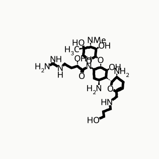 CN[C@@H]1[C@@H](O)[C@@H](O[C@H]2[C@H](NC(=O)[C@@H](O)CCNC(=N)N)C[C@H](N)C([C@H]3OC(CNCCCO)=CC[C@H]3N)[C@@H]2O)OC[C@]1(C)O